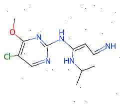 COc1nc(N/C(=C/C=N)NC(C)C)ncc1Cl